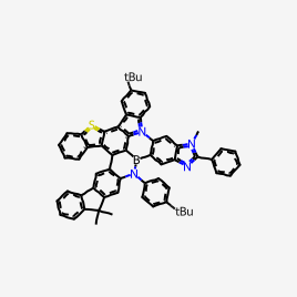 Cn1c(-c2ccccc2)nc2cc3c(cc21)-n1c2ccc(C(C)(C)C)cc2c2c4sc5ccccc5c4c4c(c21)B3N(c1ccc(C(C)(C)C)cc1)c1cc2c(cc1-4)-c1ccccc1C2(C)C